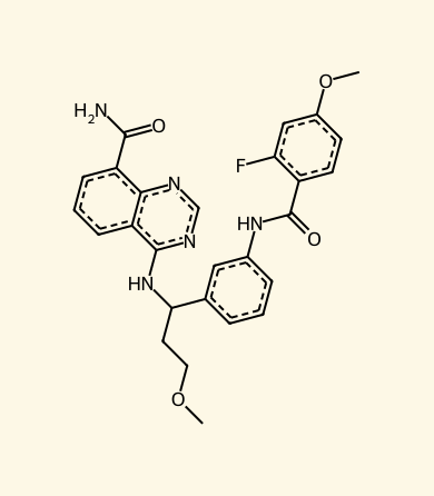 COCCC(Nc1ncnc2c(C(N)=O)cccc12)c1cccc(NC(=O)c2ccc(OC)cc2F)c1